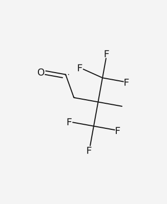 CC(C[C]=O)(C(F)(F)F)C(F)(F)F